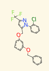 FC(F)(F)c1cc(COc2cccc(OCc3ccccc3)c2)n(-c2ccccc2Cl)n1